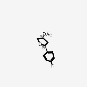 CC(=O)O[C@H]1CO[C@H](c2ccc(F)cc2)C1